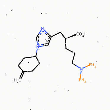 C=C1CCC(n2cnc(C[C@H](CCCN(P)P)C(=O)O)c2)CC1